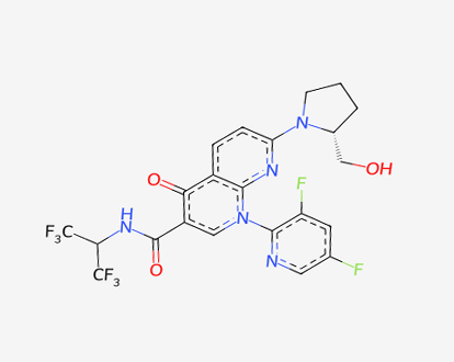 O=C(NC(C(F)(F)F)C(F)(F)F)c1cn(-c2ncc(F)cc2F)c2nc(N3CCC[C@@H]3CO)ccc2c1=O